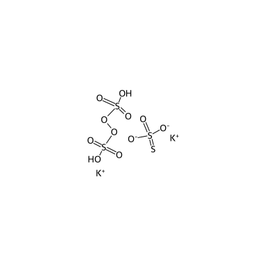 O=S(=O)(O)OOS(=O)(=O)O.O=S([O-])([O-])=S.[K+].[K+]